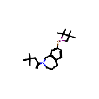 C=C(CC(C)(C)C)N1CCCc2ccc(SP3CC(C)(C)C3(C)C)cc2C1